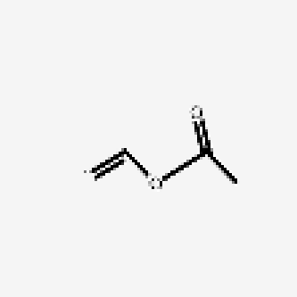 [CH]=COC(C)=O